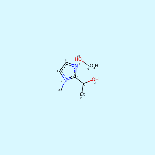 CCC(O)c1nccn1C.O=S(=O)(O)O